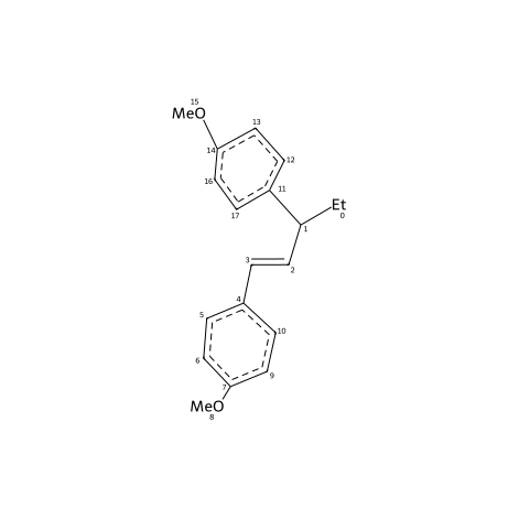 CCC(C=Cc1ccc(OC)cc1)c1ccc(OC)cc1